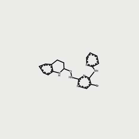 Brc1cnc(NOC2CCc3ccccc3N2)nc1Nc1ccccn1